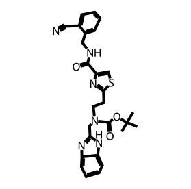 CC(C)(C)OC(=O)N(CCc1nc(C(=O)NCc2ccccc2C#N)cs1)Cc1nc2ccccc2[nH]1